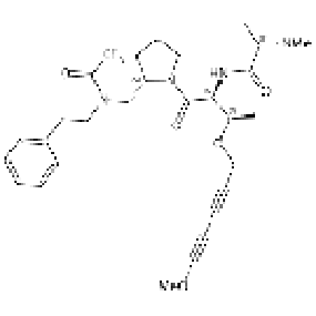 CN[C@@H](C)C(=O)N[C@H](C(=O)N1CCC[C@H]1CN(CCc1ccccc1)C(=O)C(F)(F)F)[C@@H](C)OCC#CC#COC